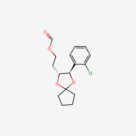 O=COCC[C@H]1OC2(CCCC2)O[C@@H]1c1ccccc1Cl